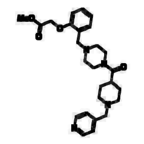 COC(=O)COc1ccccc1CN1CCN(C(=O)C2CCN(Cc3ccncc3)CC2)CC1